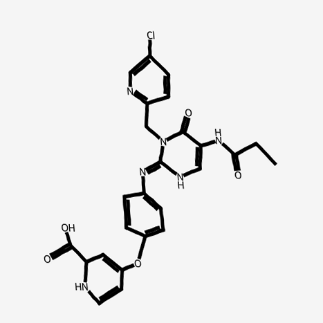 CCC(=O)Nc1c[nH]/c(=N\c2ccc(OC3=CC(C(=O)O)NC=C3)cc2)n(Cc2ccc(Cl)cn2)c1=O